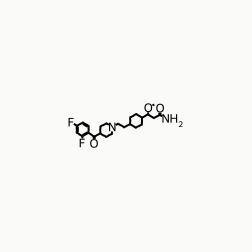 COC(CC(N)=O)C1CCC(CCN2CCC(C(=O)c3ccc(F)cc3F)CC2)CC1